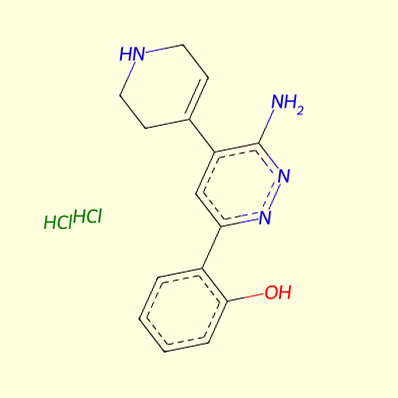 Cl.Cl.Nc1nnc(-c2ccccc2O)cc1C1=CCNCC1